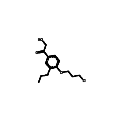 CCCc1cc(C(=O)CO)ccc1OCCCCl